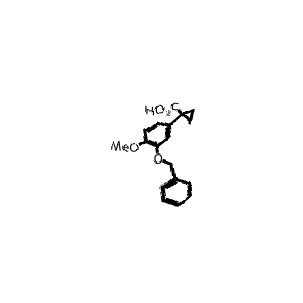 COc1ccc(C2(C(=O)O)CC2)cc1OCc1ccccc1